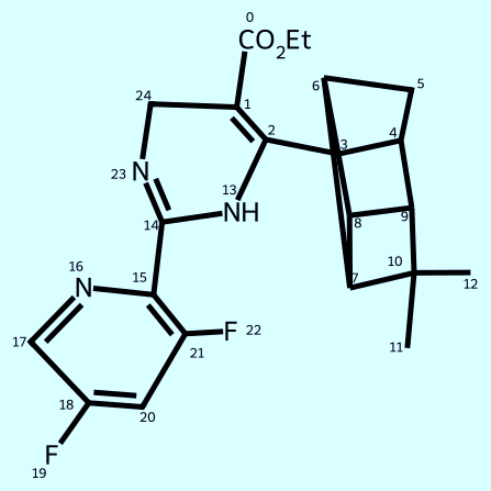 CCOC(=O)C1=C(C23C4CC2C2C3C4C2(C)C)NC(c2ncc(F)cc2F)=NC1